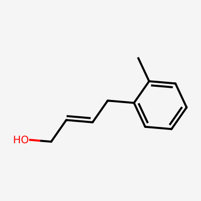 Cc1ccccc1CC=CCO